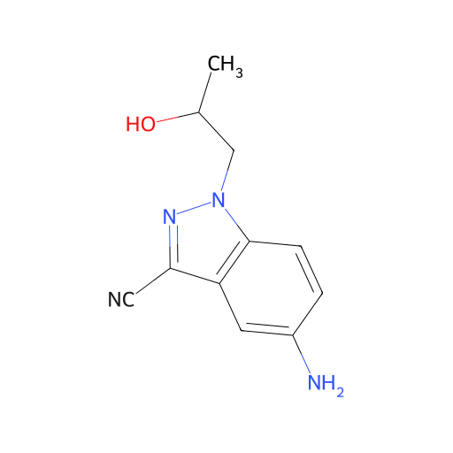 CC(O)Cn1nc(C#N)c2cc(N)ccc21